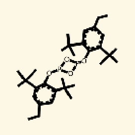 CCc1cc(C(C)(C)C)c(OP2OP(Oc3c(C(C)(C)C)cc(CC)cc3C(C)(C)C)O2)c(C(C)(C)C)c1